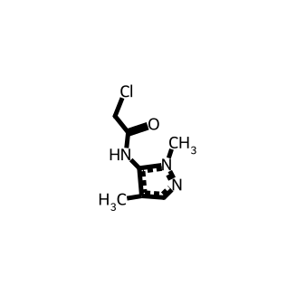 Cc1cnn(C)c1NC(=O)CCl